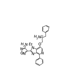 CCn1c(-c2nonc2N)nc2c(-c3ccccc3)ncc(OC[C@@H](N)Cc3ccccc3)c21